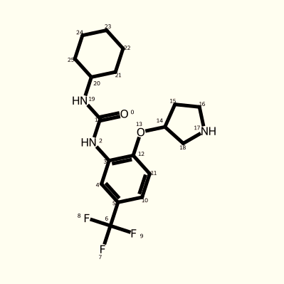 O=C(Nc1cc(C(F)(F)F)ccc1OC1CCNC1)NC1CCCCC1